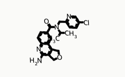 CC(C)N(Cc1ccc(Cl)cn1)C(=O)c1ccc2nc(N)c3c(c2c1)COC3